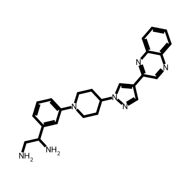 NCC(N)c1cccc(N2CCC(n3cc(-c4cnc5ccccc5n4)cn3)CC2)c1